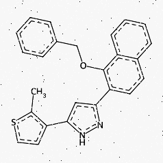 Cc1sccc1-c1cc(-c2ccc3ccccc3c2OCc2ccccc2)n[nH]1